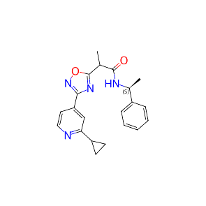 CC(C(=O)N[C@@H](C)c1ccccc1)c1nc(-c2ccnc(C3CC3)c2)no1